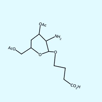 CC(=O)OCC1CC(OC(C)=O)C(N)C(OCCCC(=O)O)O1